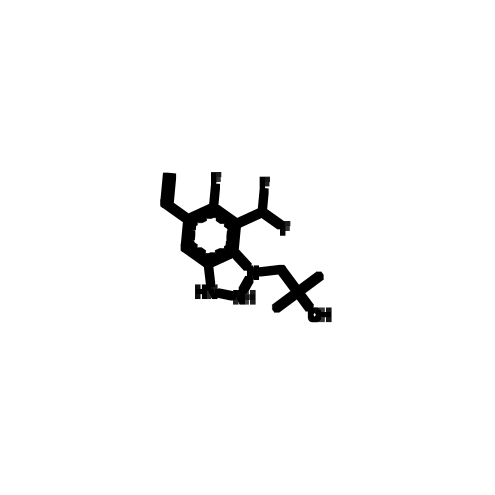 C=Cc1cc2c(c(C(F)F)c1F)N(CC(C)(C)O)NN2